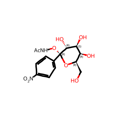 CC(=O)NO[C@@]1(c2ccc([N+](=O)[O-])cc2)O[C@H](CO)[C@H](O)[C@H](O)[C@H]1O